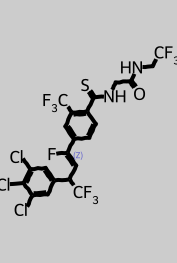 O=C(CNC(=S)c1ccc(/C(F)=C/C(c2cc(Cl)c(Cl)c(Cl)c2)C(F)(F)F)cc1C(F)(F)F)NCC(F)(F)F